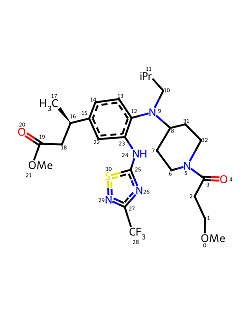 COCCC(=O)N1CCC(N(CC(C)C)c2ccc([C@H](C)CC(=O)OC)cc2Nc2nc(C(F)(F)F)ns2)CC1